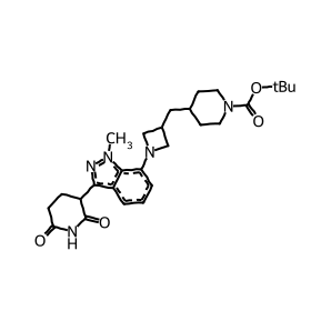 Cn1nc(C2CCC(=O)NC2=O)c2cccc(N3CC(CC4CCN(C(=O)OC(C)(C)C)CC4)C3)c21